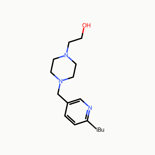 CCC(C)c1ccc(CN2CCN(CCO)CC2)cn1